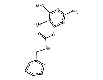 COc1nc(N)nc(OC(=O)NCc2ccccc2)c1N